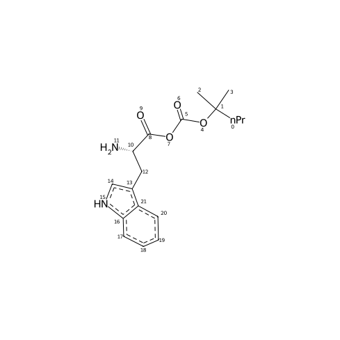 CCCC(C)(C)OC(=O)OC(=O)[C@@H](N)Cc1c[nH]c2ccccc12